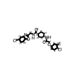 O=C(COc1ccc(Cl)c(F)c1)N[C@H]1CC[C@H](C(=O)NCc2nc3cc(Cl)ccc3o2)CC1